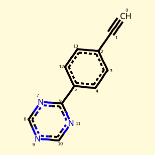 C#Cc1ccc(-c2ncncn2)cc1